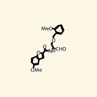 COc1ccc2oc(C(=O)N[C@H](C=O)COCc3ccccc3OC)cc2c1